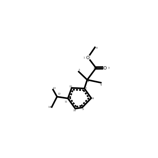 COC(=O)C(C)(C)c1cccc(C(C)C)c1